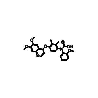 COc1cc2nccc(Oc3ccc(N(C(=O)O)c4ccccc4OC)c(C)c3C)c2cc1OC